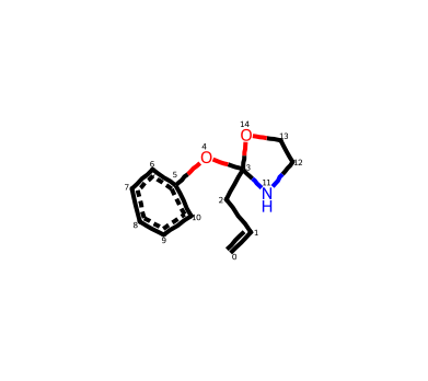 C=CCC1(Oc2ccccc2)NCCO1